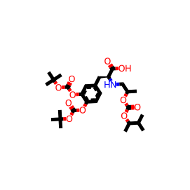 CC(CN[C@@H](Cc1ccc(OC(=O)OC(C)(C)C)c(OC(=O)OC(C)(C)C)c1)C(=O)O)OC(=O)OC(C)C(C)C